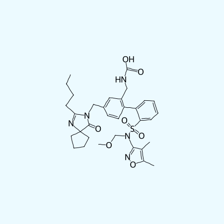 CCCCC1=NC2(CCCC2)C(=O)N1Cc1ccc(-c2ccccc2S(=O)(=O)N(COC)c2noc(C)c2C)c(CNC(=O)O)c1